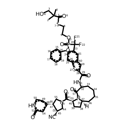 CC(C)(CO)C(=O)SCCOP(=O)(Oc1ccccc1)C(F)(F)c1ccc2sc(C(=O)N[C@H]3CCCC[C@H]4CC[C@@H](C(=O)N5C[C@@H](C#N)[C@H](c6cc[nH]c(=O)c6)C5)N4C3=O)cc2c1